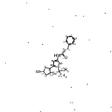 CC(C)(C)n1nc(NC(=O)OCc2ccccc2)cc1C1CCC(O)C1